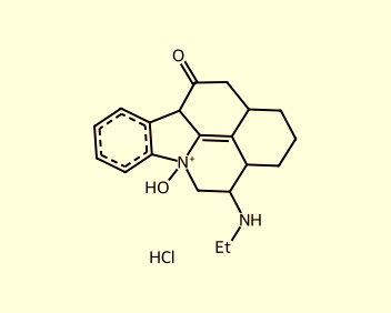 CCNC1C[N+]2(O)C3=C4C(CCCC41)CC(=O)C3c1ccccc12.Cl